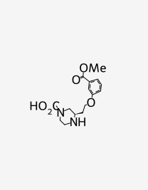 COC(=O)c1cccc(OCC[C@@H]2CN(C(=O)O)CCN2)c1